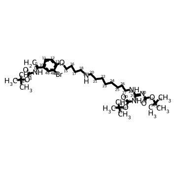 C=C(NC(=O)OC(C)(C)C)c1ccc(OCCCCNCCCCCCCCN/C(=N/C(=O)OC(C)(C)C)NC(=O)OC(C)(C)C)c(Br)c1